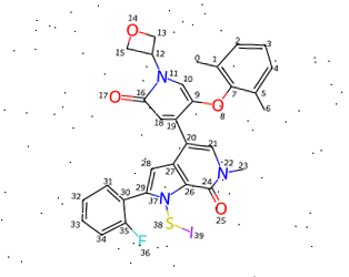 Cc1cccc(C)c1Oc1cn(C2COC2)c(=O)cc1-c1cn(C)c(=O)c2c1cc(-c1ccccc1F)n2SI